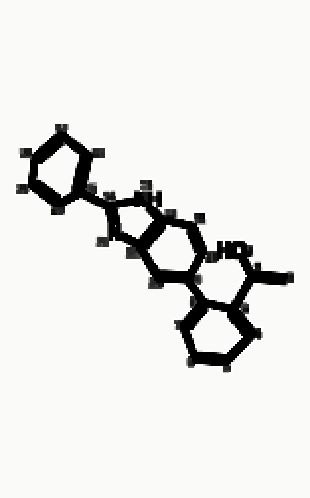 C=C(O)c1ccccc1-c1ccc2[nH]c(-c3ccccc3)nc2c1